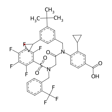 CC(C)(C)c1cc(CN(C(=O)CN(Cc2ccccc2C(F)(F)F)S(=O)(=O)c2c(F)c(F)c(F)c(F)c2F)c2ccc(C(=O)O)cc2C2CC2)cc(C2CC2)c1